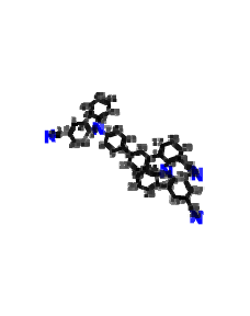 N#CC1=Cc2c(n(-c3ccc(-c4cccc(-c5cccc(C#N)c5-n5c6c(c7ccccc75)CC(C#N)C=C6)c4)cc3)c3ccccc23)CC1